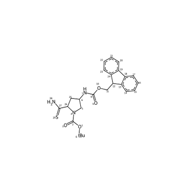 CC(C)(C)OC(=O)N1CC(NC(=O)OCC2c3ccccc3-c3ccccc32)CC1C(N)=S